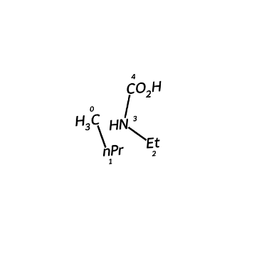 CCCC.CCNC(=O)O